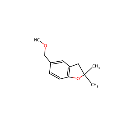 CC1(C)Cc2cc(COC#N)ccc2O1